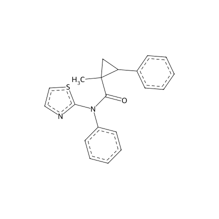 CC1(C(=O)N(c2ccccc2)c2nccs2)CC1c1ccccc1